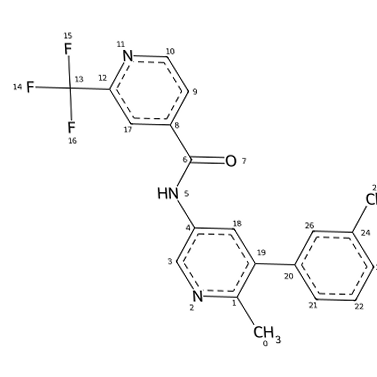 Cc1ncc(NC(=O)c2ccnc(C(F)(F)F)c2)cc1-c1cccc(Cl)c1